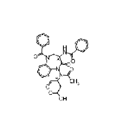 CC(=O)N([C@H](C=O)CC(=O)O)N1C(=O)[C@@H](NC(=O)c2ccccc2)CN(C(=O)c2ccccc2)c2ccccc21